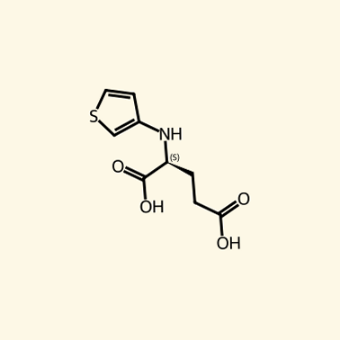 O=C(O)CC[C@H](Nc1ccsc1)C(=O)O